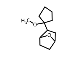 COC1(C2CC3CCC2O3)CCCC1